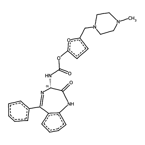 CN1CCN(Cc2ccc(OC(=O)N[C@H]3N=C(c4ccccc4)c4ccccc4NC3=O)o2)CC1